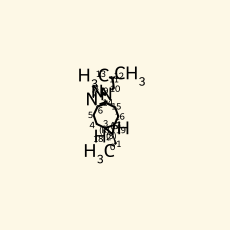 CC[C@H]1[C@H]2CCc3nnn(CC(C)C)c3CC[C@@H]12